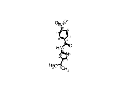 CC(C)c1cnc(NC(=O)c2c[c]c([N+](=O)[O-])cc2)s1